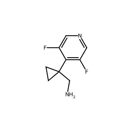 NCC1(c2c(F)cncc2F)CC1